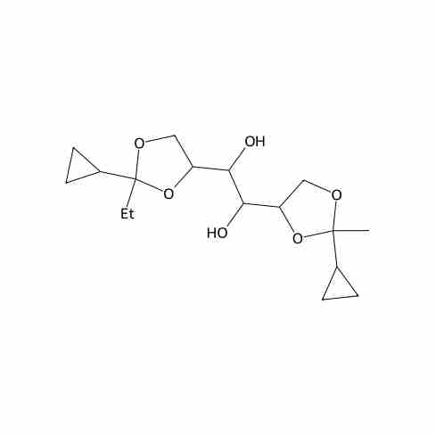 CCC1(C2CC2)OCC(C(O)C(O)C2COC(C)(C3CC3)O2)O1